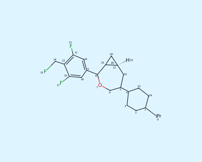 CC(C)C1CCC(C2COC(c3cc(F)c(CF)c(F)c3)C3C[C@H]3C2)CC1